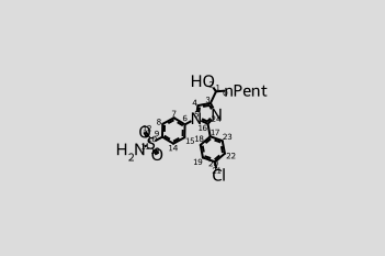 CCCCCC(O)c1cn(-c2ccc(S(N)(=O)=O)cc2)c(-c2ccc(Cl)cc2)n1